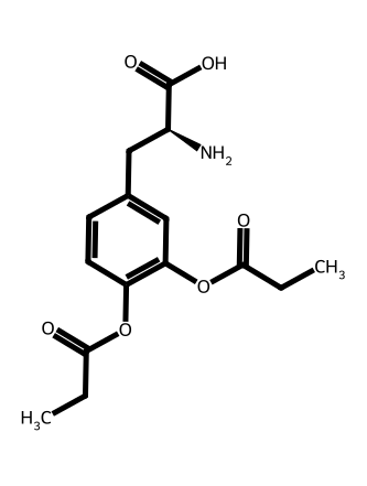 CCC(=O)Oc1ccc(C[C@H](N)C(=O)O)cc1OC(=O)CC